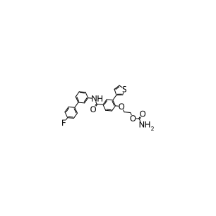 NC(=O)OCCOc1ccc(C(=O)Nc2cccc(-c3ccc(F)cc3)c2)cc1-c1ccsc1